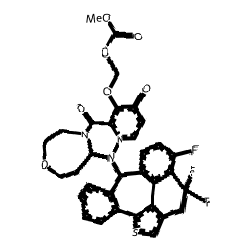 COC(=O)OCOc1c2n(ccc1=O)N(C1c3ccccc3-c3scc4c3-c3c1ccc(F)c3C(F)(F)C4)C1CCOCCN1C2=O